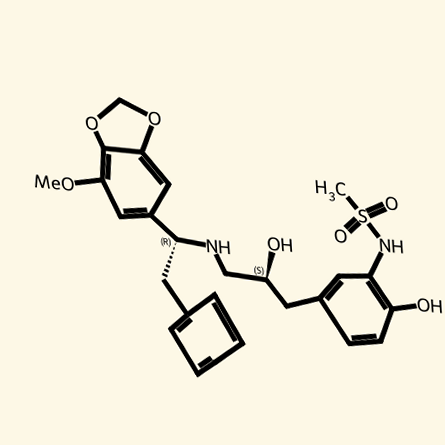 COc1cc([C@@H](Cc2ccccc2)NC[C@@H](O)Cc2ccc(O)c(NS(C)(=O)=O)c2)cc2c1OCO2